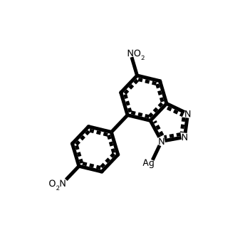 O=[N+]([O-])c1ccc(-c2cc([N+](=O)[O-])cc3nn[n]([Ag])c23)cc1